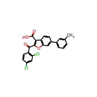 Cc1cccc(-c2ccc3c(C(=O)O)c(C(=O)c4ccc(Cl)cc4Cl)oc3c2)c1